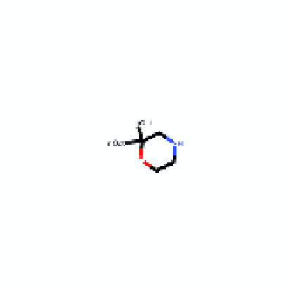 CCCCCCCCC1(CCCCCCCC)CNCCO1